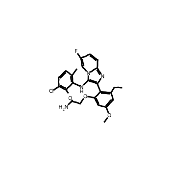 CCc1cc(OC)cc(OCC(N)=O)c1-c1nc2ccc(F)cn2c1Nc1c(C)ccc(Cl)c1C